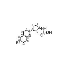 O=C(O)N[C@@H]1CCN(c2ccc3cc(F)ccc3n2)C1